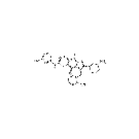 Cn1c(=O)n(CC(=O)Nc2cccc(N)n2)c(=O)c2c1nc(N1CCCC(N)C1)n2Cc1ccccc1C#N